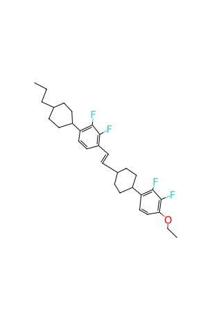 CCCC1CCC(c2ccc(/C=C/C3CCC(c4ccc(OCC)c(F)c4F)CC3)c(F)c2F)CC1